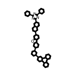 c1ccc(-c2nc(-c3ccccc3)nc(-c3ccc4cc(-c5ccc6c(c5)oc5cc(-c7cccc(-c8ccc9c%10ccccc%10c%10ccccc%10c9c8)c7)ccc56)ccc4c3)n2)cc1